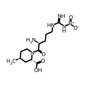 C[C@H]1CCN(C(=O)[C@@H](N)CCCNC(=N)N[N+](=O)[O-])[C@H](C(=O)O)C1